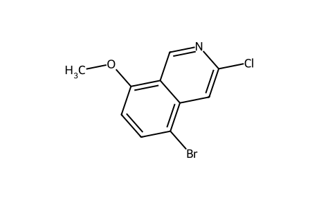 COc1ccc(Br)c2cc(Cl)ncc12